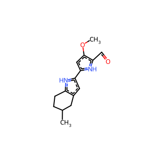 COc1cc(-c2cc3c([nH]2)CCC(C)C3)[nH]c1C=O